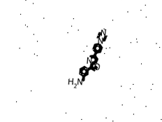 CN1CCN(c2ccc(-c3cnc4c(-c5cccc(CN)c5)coc4c3)cc2)CC1